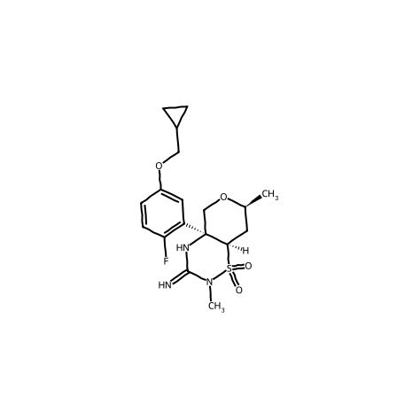 C[C@H]1C[C@@H]2[C@](c3cc(OCC4CC4)ccc3F)(CO1)NC(=N)N(C)S2(=O)=O